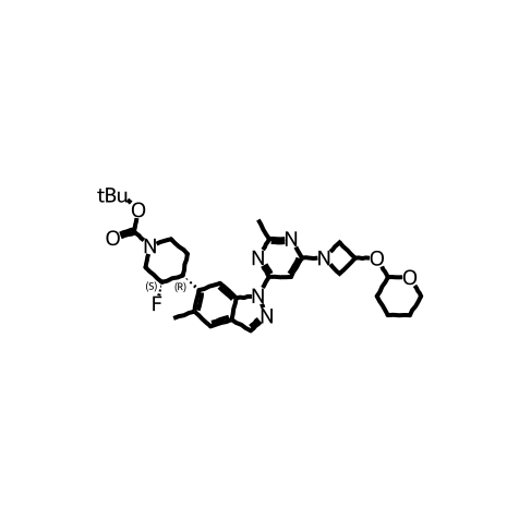 Cc1nc(N2CC(OC3CCCCO3)C2)cc(-n2ncc3cc(C)c([C@H]4CCN(C(=O)OC(C)(C)C)C[C@H]4F)cc32)n1